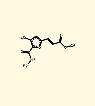 CNC(=O)c1oc(C=CC(=O)OC)cc1C